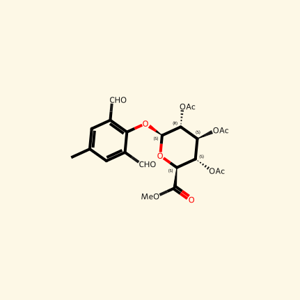 COC(=O)[C@H]1O[C@@H](Oc2c(C=O)cc(C)cc2C=O)[C@H](OC(C)=O)[C@@H](OC(C)=O)[C@@H]1OC(C)=O